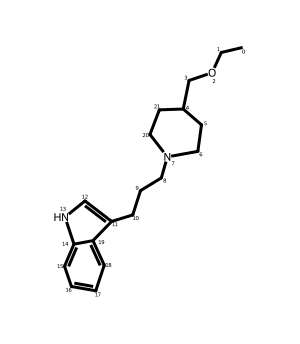 CCOCC1CCN(CCCc2c[nH]c3ccccc23)CC1